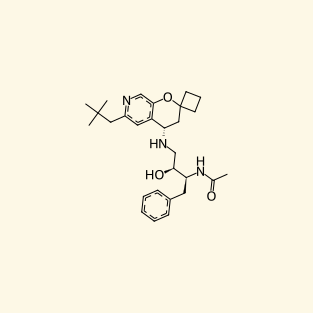 CC(=O)N[C@@H](Cc1ccccc1)[C@@H](O)CN[C@H]1CC2(CCC2)Oc2cnc(CC(C)(C)C)cc21